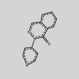 O=c1c2ccccc2cnn1-c1ccncc1